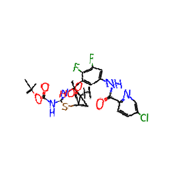 CC(C)(C)OC(=O)NC1=N[C@](C)(c2cc(NC(=O)c3ccc(Cl)cn3)cc(F)c2F)[C@@H]2C[C@]2(C(=O)O)S1